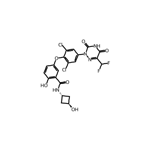 O=C(N[C@H]1C[C@H](O)C1)c1cc(Oc2c(Cl)cc(-n3nc(C(F)F)c(=O)[nH]c3=O)cc2Cl)ccc1O